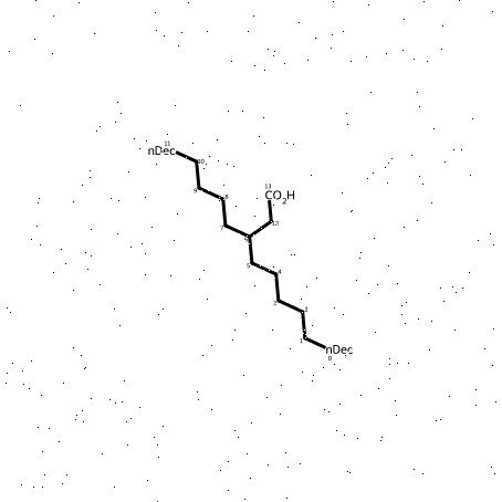 CCCCCCCCCCCCCCCC(CCCCCCCCCCCCCC)CC(=O)O